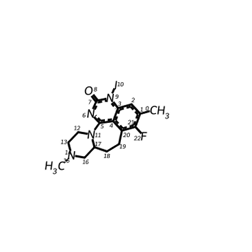 Cc1cc2c3c(nc(=O)n2I)N2CCN(C)CC2CCc3c1F